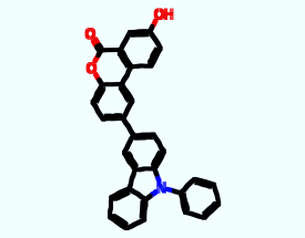 O=c1oc2ccc(-c3ccc4c(c3)c3ccccc3n4-c3ccccc3)cc2c2ccc(O)cc12